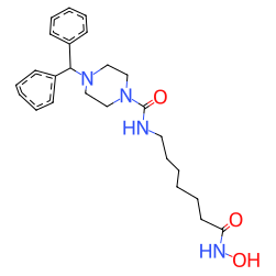 O=C(CCCCCCNC(=O)N1CCN(C(c2ccccc2)c2ccccc2)CC1)NO